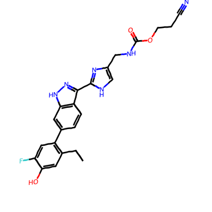 CCc1cc(O)c(F)cc1-c1ccc2c(-c3nc(CNC(=O)OCCC#N)c[nH]3)n[nH]c2c1